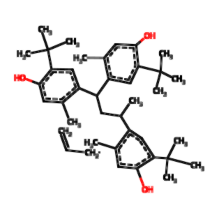 Cc1cc(O)c(C(C)(C)C)cc1C(C)CC(c1cc(C(C)(C)C)c(O)cc1C)c1cc(C(C)(C)C)c(O)cc1C.[CH2]C=C